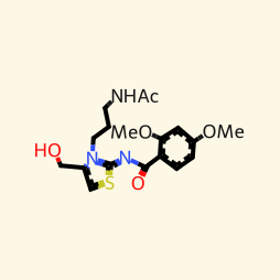 COc1ccc(C(=O)N=c2scc(CO)n2CCCNC(C)=O)c(OC)c1